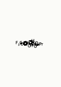 CC(C)CS(=O)(=O)N1C[C@@H]2CCN(c3ccc(OC(F)(F)F)cc3)C(=O)[C@@H]2C1